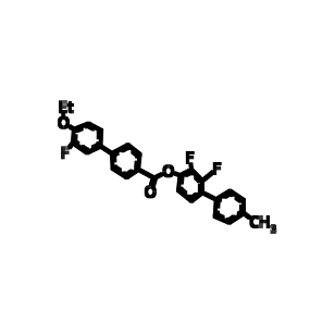 CCOc1ccc(-c2ccc(C(=O)Oc3ccc(-c4ccc(C)cc4)c(F)c3F)cc2)cc1F